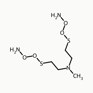 CN(CCSOON)CCSOON